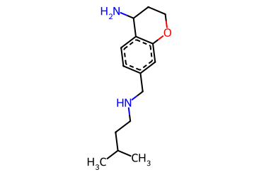 CC(C)CCNCc1ccc2c(c1)OCCC2N